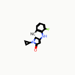 N#Cc1cccc(F)c1NC1=CC(=O)N(C2CC2)C1